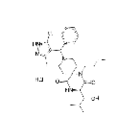 CCCCN1C(=O)[C@@H]([C@H](O)C(C)C)NC(=O)C12CCN(C(c1ccccc1)c1c(C)n[nH]c1Cl)CC2.Cl